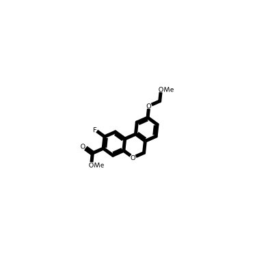 COCOc1ccc2c(c1)-c1cc(F)c(C(=O)OC)cc1OC2